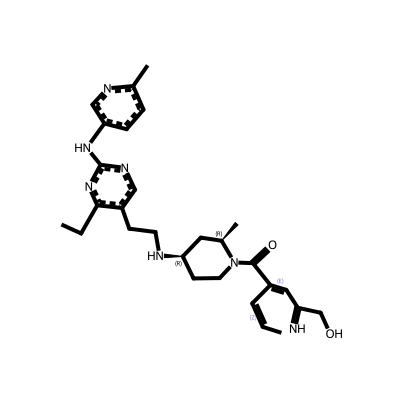 C/C=C\C(=C/C(=N)CO)C(=O)N1CC[C@@H](NCCc2cnc(Nc3ccc(C)nc3)nc2CC)C[C@H]1C